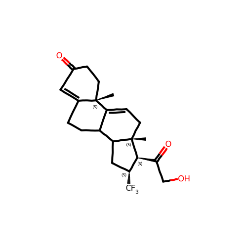 C[C@]12CCC(=O)C=C1CCC1C2=CC[C@@]2(C)C1C[C@H](C(F)(F)F)[C@@H]2C(=O)CO